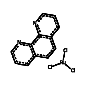 [Cl][Ru]([Cl])[Cl].c1cnc2c(c1)ccc1cccnc12